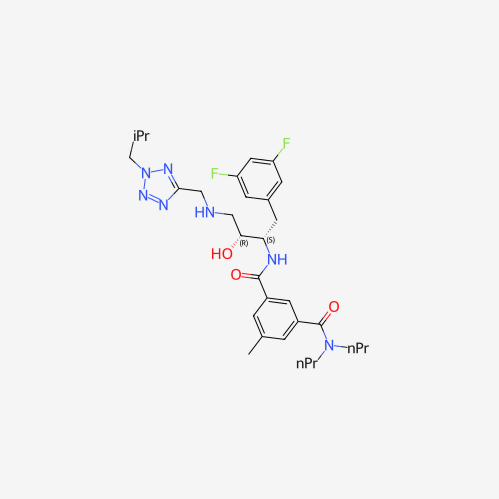 CCCN(CCC)C(=O)c1cc(C)cc(C(=O)N[C@@H](Cc2cc(F)cc(F)c2)[C@H](O)CNCc2nnn(CC(C)C)n2)c1